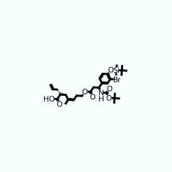 C=CC[C@H](CC(C)=CCCOC(=O)CC(NC(=O)OC(C)(C)C)c1ccc(O[Si](C)(C)C(C)(C)C)c(Br)c1)C(=O)O